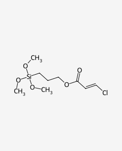 CO[Si](CCCOC(=O)C=CCl)(OC)OC